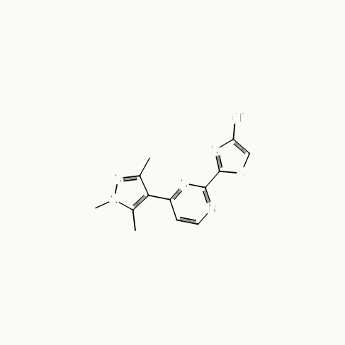 Cc1nn(C)c(C)c1-c1c[c]nc(-c2nc(C(F)(F)F)cs2)n1